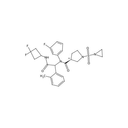 Cc1ccccc1C(C(=O)NC1CC(F)(F)C1)N(C(=O)[C@H]1CCN(S(=O)(=O)N2CC2)C1)c1cccc(F)c1